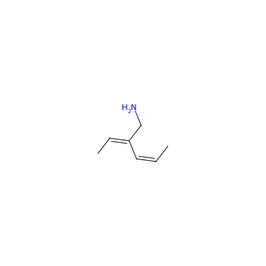 C/C=C\C(=C/C)CN